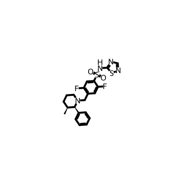 C[C@H]1CCCN(Cc2cc(F)c(S(=O)(=O)Nc3ncns3)cc2F)[C@H]1c1ccccc1